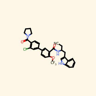 N#CCC(Cc1c[nH]c2ccccc12)NC(=O)c1cc(-c2ccc(C(=O)N3CCCC3)c(Cl)c2)ccc1OC(F)(F)F